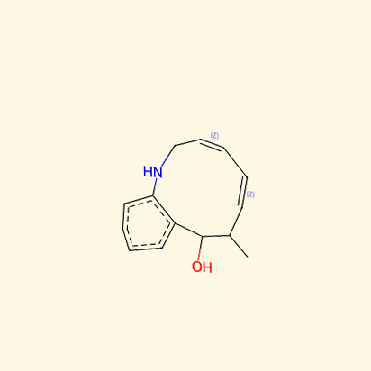 CC1/C=C\C=C/CNc2ccccc2C1O